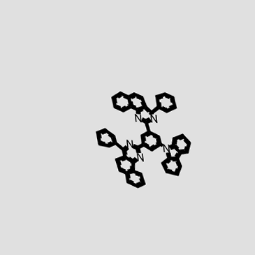 c1ccc(-c2nc(-c3cc(-c4nc(-c5ccccc5)c5ccc6ccccc6c5n4)cc(-n4c5ccccc5c5ccccc54)c3)nc3c2ccc2ccccc23)cc1